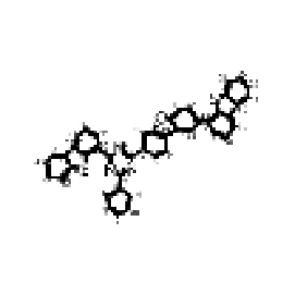 c1ccc(-c2nc(-c3ccc4c(c3)oc3ccc(-c5cccc6c5sc5ccccc56)cc34)nc(-c3cccc4c3sc3ccccc34)n2)cc1